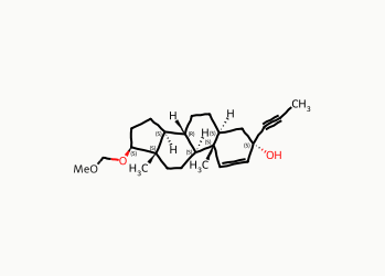 CC#C[C@@]1(O)C=C[C@@]2(C)[C@@H](CC[C@@H]3[C@@H]2CC[C@]2(C)[C@@H](OCOC)CC[C@@H]32)C1